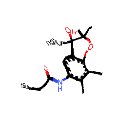 CCCCC1(O)c2cc(NC(=O)CC(C)(C)C)c(C)c(C)c2OC1(C)C